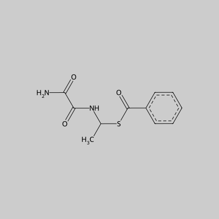 CC(NC(=O)C(N)=O)SC(=O)c1ccccc1